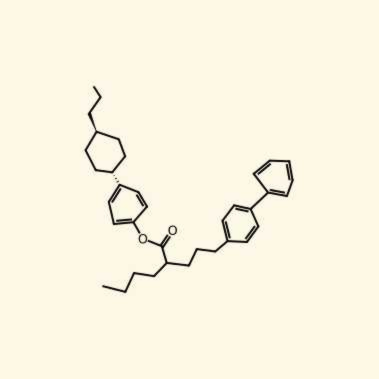 CCCCC(CCCc1ccc(-c2ccccc2)cc1)C(=O)Oc1ccc([C@H]2CC[C@H](CCC)CC2)cc1